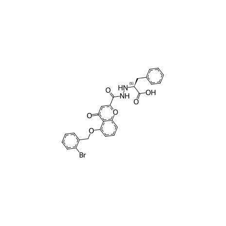 O=C(NN[C@@H](Cc1ccccc1)C(=O)O)c1cc(=O)c2c(OCc3ccccc3Br)cccc2o1